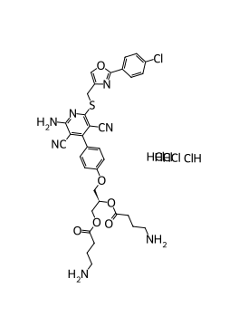 Cl.Cl.Cl.Cl.N#Cc1c(N)nc(SCc2coc(-c3ccc(Cl)cc3)n2)c(C#N)c1-c1ccc(OC[C@H](COC(=O)CCCN)OC(=O)CCCN)cc1